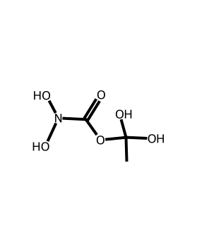 CC(O)(O)OC(=O)N(O)O